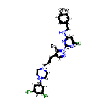 CCc1c(C=CCN2CCN(c3cc(F)cc(F)c3)CC2)cnn1-c1nc(Cl)cc(NCc2ccc(OC)cc2)n1